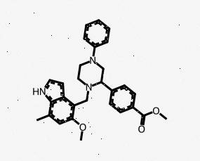 COC(=O)c1ccc(C2CN(c3ccccc3)CCN2Cc2c(OC)cc(C)c3[nH]ccc23)cc1